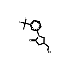 O=C1CC(CO)CN1c1cccc(C(F)(F)F)c1